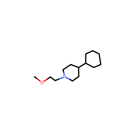 COCCN1CCC(C2CCCCC2)CC1